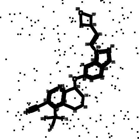 N#Cc1cnc2c(c1C(F)(F)F)CCCC2Oc1ccc2cnn(C=CC3COC3)c2c1